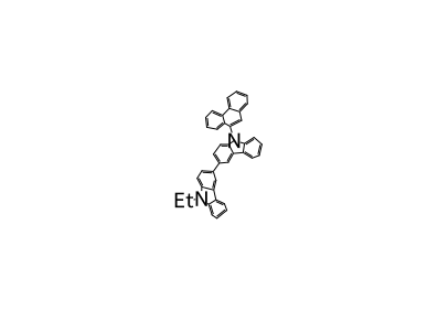 CCn1c2ccccc2c2cc(-c3ccc4c(c3)c3ccccc3n4-c3cc4ccccc4c4ccccc34)ccc21